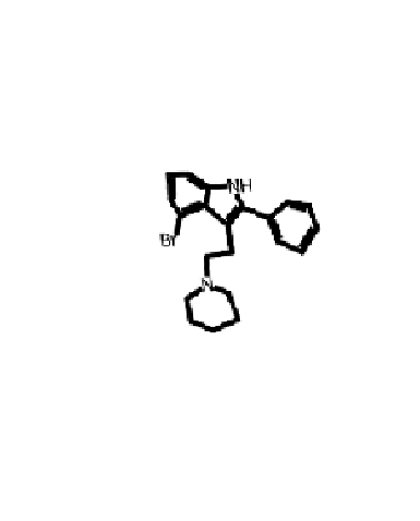 Brc1cccc2[nH]c(-c3ccccc3)c(CCN3CCCCC3)c12